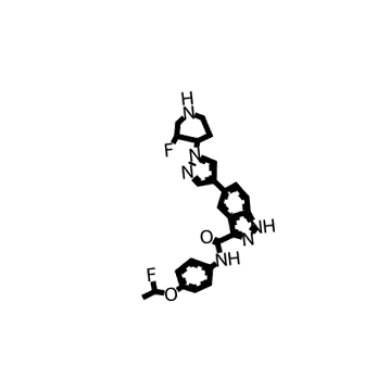 CC(F)Oc1ccc(NC(=O)c2n[nH]c3ccc(-c4cnn(C5CCNCC5F)c4)cc23)cc1